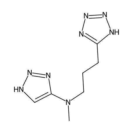 CN(CCCc1nnn[nH]1)c1c[nH]nn1